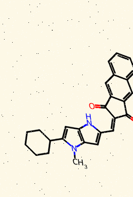 Cn1c(C2CCCCC2)cc2[nH]c(C=C3C(=O)c4cc5ccccc5cc4C3=O)cc21